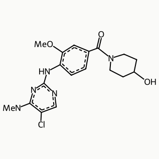 CNc1nc(Nc2ccc(C(=O)N3CCC(O)CC3)cc2OC)ncc1Cl